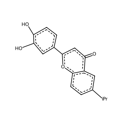 CC(C)c1ccc2oc(-c3ccc(O)c(O)c3)cc(=O)c2c1